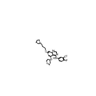 Fc1ccc(Nc2ncnc3cc(OCCCN4CCCC4)cc(OC4CCOCC4)c23)cc1Cl